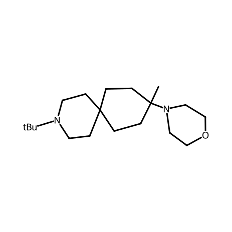 CC(C)(C)N1CCC2(CC1)CCC(C)(N1CCOCC1)CC2